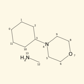 C1CCC(N2CCOCC2)CC1.CN